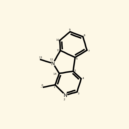 [CH2]c1nccc2c3ccccc3n(C)c12